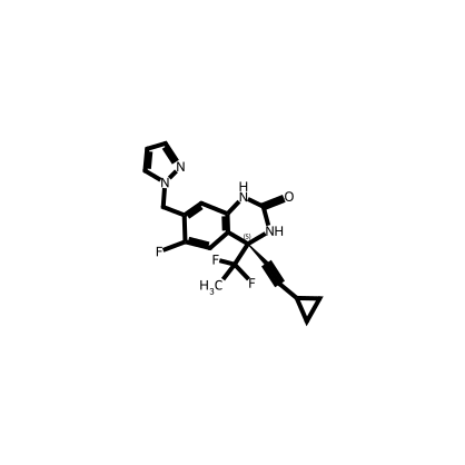 CC(F)(F)[C@@]1(C#CC2CC2)NC(=O)Nc2cc(Cn3cccn3)c(F)cc21